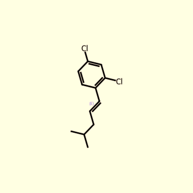 CC(C)C/C=C/c1ccc(Cl)cc1Cl